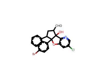 O=CC1CC(c2ccccc2)C2(c3ccc(Br)cc3)Oc3cc(Cl)cnc3C12O